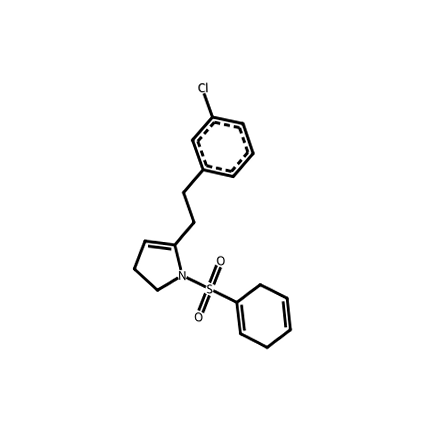 O=S(=O)(C1=CCC=CC1)N1CCC=C1CCc1cccc(Cl)c1